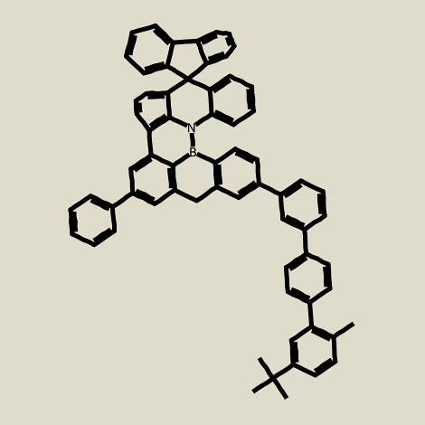 Cc1ccc(C(C)(C)C)cc1-c1ccc(-c2cccc(-c3ccc4c(c3)Cc3cc(-c5ccccc5)cc5c3B4N3c4ccccc4C4(c6ccccc6-c6ccccc64)c4cccc-5c43)c2)cc1